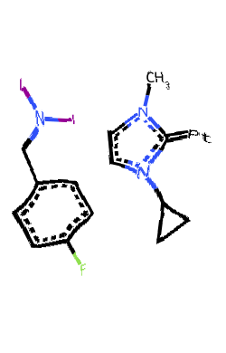 Cn1ccn(C2CC2)[c]1=[Pt].Fc1ccc(CN(I)I)cc1